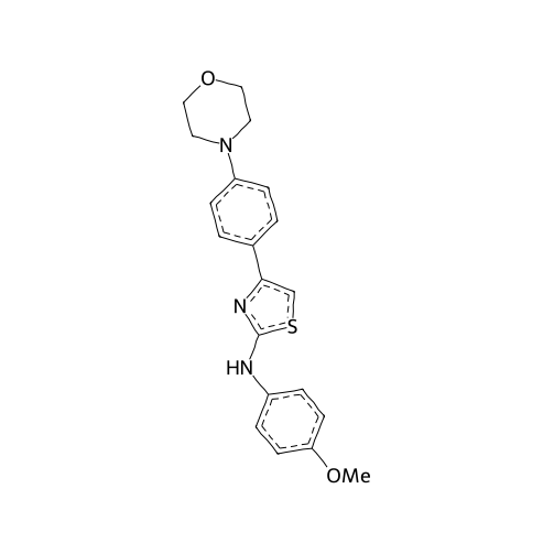 COc1ccc(Nc2nc(-c3ccc(N4CCOCC4)cc3)cs2)cc1